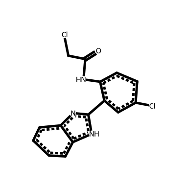 O=C(CCl)Nc1ccc(Cl)cc1-c1nc2ccccc2[nH]1